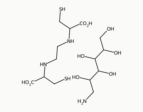 NCC(O)C(O)C(O)C(O)CO.O=C(O)C(CS)NCCNC(CS)C(=O)O